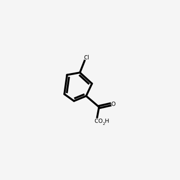 O=C(O)C(=O)c1cccc(Cl)c1